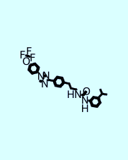 CC(C)c1cccc(NC(=O)NCCCc2ccc(-c3ncn(-c4ccc(OC(F)(F)F)cc4)n3)cc2)c1